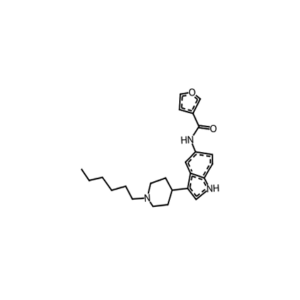 CCCCCCN1CCC(c2c[nH]c3ccc(NC(=O)c4ccoc4)cc23)CC1